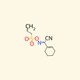 C=CCS(=O)(=O)ON=C(C#N)C1=CCCCC1